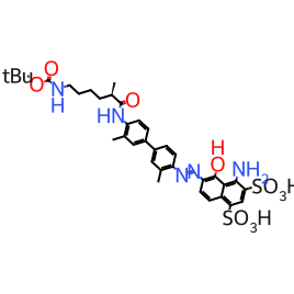 Cc1cc(-c2ccc(NC(=O)[C@H](C)CCCCNC(=O)OC(C)(C)C)c(C)c2)ccc1/N=N/c1ccc2c(S(=O)(=O)O)cc(S(=O)(=O)O)c(N)c2c1O